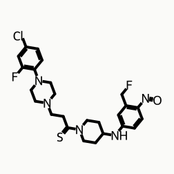 O=Nc1ccc(NC2CCN(C(=S)CCN3CCN(c4ccc(Cl)cc4F)CC3)CC2)cc1CF